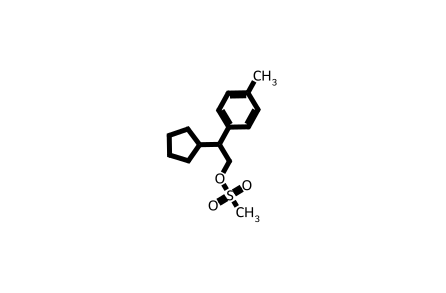 Cc1ccc(C(COS(C)(=O)=O)C2CCCC2)cc1